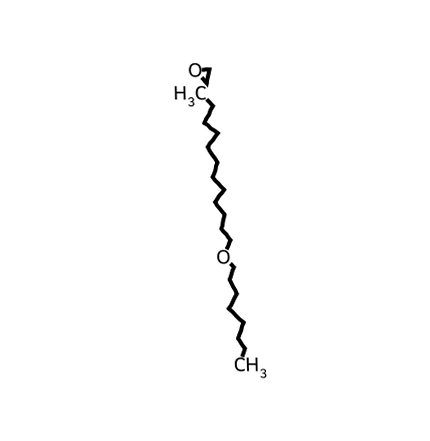 C1CO1.CCCCCCCCCCCCOCCCCCCCC